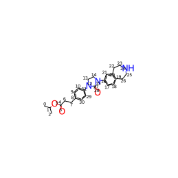 CC(C)OC(=O)CCc1ccc(N2CCN(c3ccc4c(c3)CCNCC4)C2=O)cc1